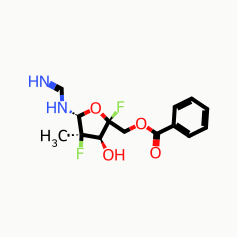 C[C@]1(F)[C@H](NC=N)O[C@](F)(COC(=O)c2ccccc2)[C@H]1O